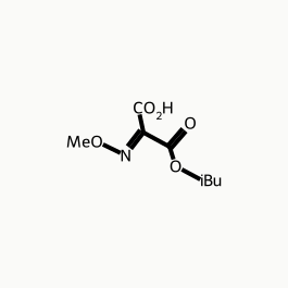 CCC(C)OC(=O)C(=NOC)C(=O)O